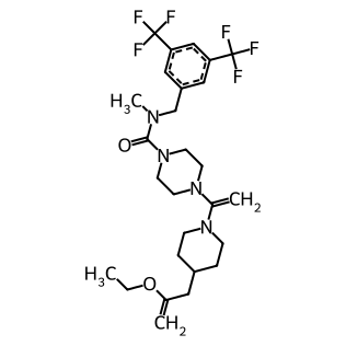 C=C(CC1CCN(C(=C)N2CCN(C(=O)N(C)Cc3cc(C(F)(F)F)cc(C(F)(F)F)c3)CC2)CC1)OCC